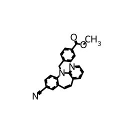 COC(=O)c1ccc(CN2c3ccc(C#N)cc3C=Cc3cccnc32)cc1